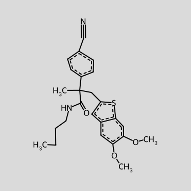 CCCCNC(=O)C(C)(Cc1cc2cc(OC)c(OC)cc2s1)c1ccc(C#N)cc1